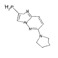 Pc1cn2nc(N3CCCC3)ccc2n1